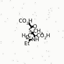 CCC(=O)N[C@H](C(=O)O)C(C)(C)SC(=O)CC(=O)O